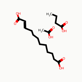 CC(=O)O.CCCC(=O)O.O=C(O)/C=C/CCCCCCCCC(=O)O